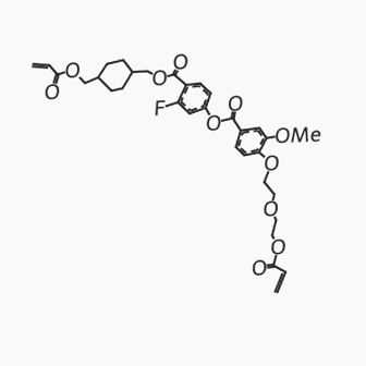 C=CC(=O)OCCOCCOc1ccc(C(=O)Oc2ccc(C(=O)OCC3CCC(COC(=O)C=C)CC3)c(F)c2)cc1OC